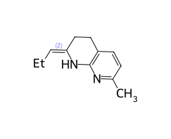 CC/C=C1/CCc2ccc(C)nc2N1